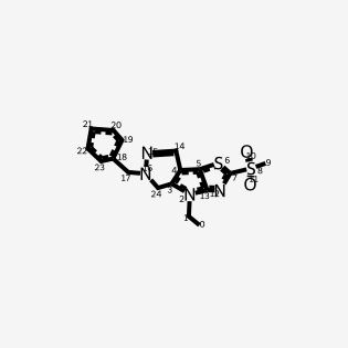 CCn1c2c(c3sc(S(C)(=O)=O)nc31)C=NN(Cc1ccccc1)C2